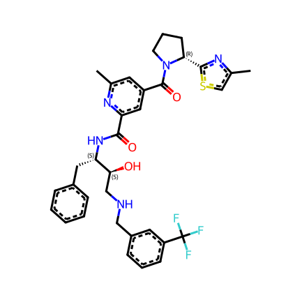 Cc1cc(C(=O)N2CCC[C@@H]2c2nc(C)cs2)cc(C(=O)N[C@@H](Cc2ccccc2)[C@@H](O)CNCc2cccc(C(F)(F)F)c2)n1